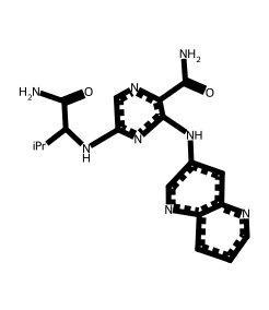 CC(C)C(Nc1cnc(C(N)=O)c(Nc2cnc3cccnc3c2)n1)C(N)=O